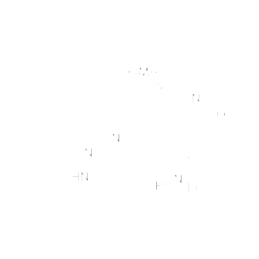 CCN(CC)C(=O)c1ccc(C2c3cc(OCCN4CCOCC4)c(OC)cc3CCN2Cc2c[nH]c(-c3ccccc3)n2)cc1